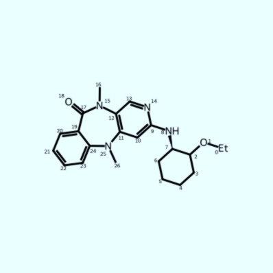 CCOC1CCCC[C@H]1Nc1cc2c(cn1)N(C)C(=O)c1ccccc1N2C